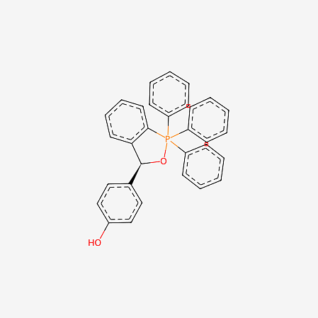 Oc1ccc([C@@H]2OP(c3ccccc3)(c3ccccc3)(c3ccccc3)c3ccccc32)cc1